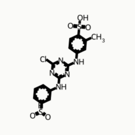 Cc1cc(Nc2nc(Cl)nc(Nc3cccc([SH](=O)=O)c3)n2)ccc1S(=O)(=O)O